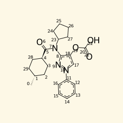 C[C@H]1CC[C@H](C(=O)N(c2nn(-c3ccccc3)cc2OC(=O)O)C2CCCC2)CC1